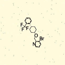 FC(F)(F)c1ccccc1[C@H]1CC[C@@H](OCc2ncccc2Br)CC1